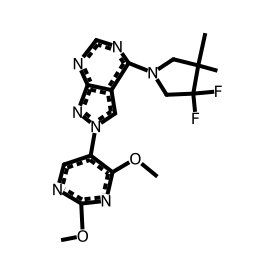 COc1ncc(-n2cc3c(N4CC(C)(C)C(F)(F)C4)ncnc3n2)c(OC)n1